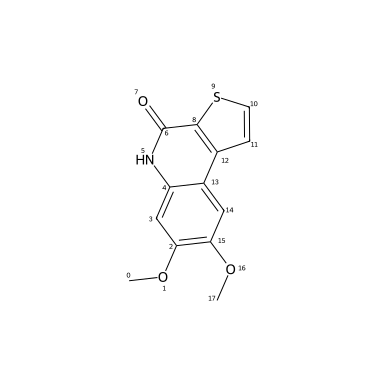 COc1cc2[nH]c(=O)c3sccc3c2cc1OC